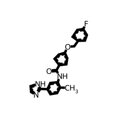 Cc1ccc(-c2ncc[nH]2)cc1NC(=O)c1ccc(OCc2ccc(F)cc2)cc1